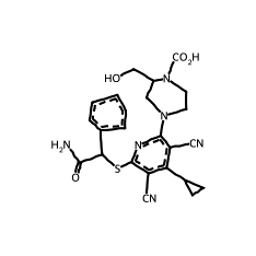 N#Cc1c(SC(C(N)=O)c2ccccc2)nc(N2CCN(C(=O)O)C(CO)C2)c(C#N)c1C1CC1